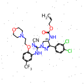 C=CCOC(=O)N[C@@H]1CN(/C(=N\C#N)Nc2cc(C(F)(F)F)ccc2OCCN2CCOCC2)N=C1c1ccc(Cl)c(Cl)c1